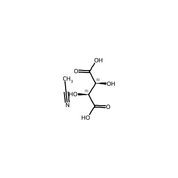 CC#N.O=C(O)[C@@H](O)[C@H](O)C(=O)O